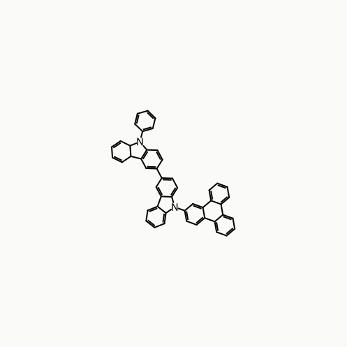 C1=CC2c3cc(-c4ccc5c(c4)c4ccccc4n5-c4ccc5c6ccccc6c6ccccc6c5c4)ccc3N(c3ccccc3)C2C=C1